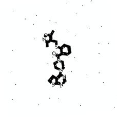 Cc1noc(C)c1CSc1ccccc1C(=O)N1CCN(c2ncnc3sccc23)CC1